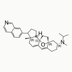 CC(C)N(C)[C@@H]1CCC2=CC3=CC[C@]4(C)C(c5ccc6ccncc6c5)CC[C@H]4[C@@]34CC[C@]2(C1)O4